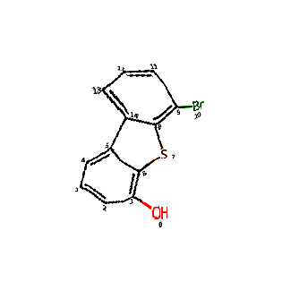 Oc1cccc2c1sc1c(Br)cccc12